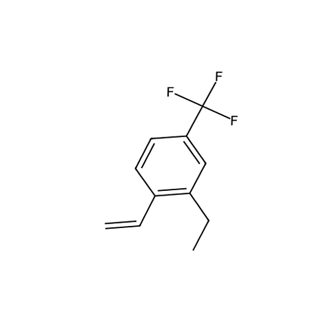 C=Cc1ccc(C(F)(F)F)cc1CC